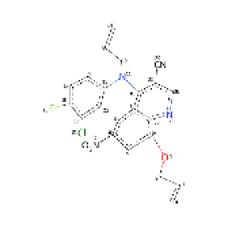 C=CCOc1cc([N+](=O)[O-])cc2c(N(CC=C)c3ccc(F)c(Cl)c3)c(C#N)cnc12